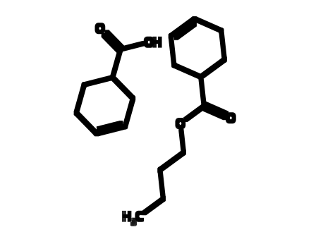 CCCCOC(=O)C1CC=CCC1.O=C(O)C1CC=CCC1